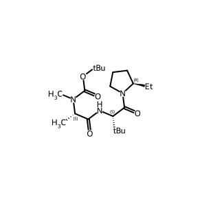 CC[C@@H]1CCCN1C(=O)[C@@H](NC(=O)[C@H](C)N(C)C(=O)OC(C)(C)C)C(C)(C)C